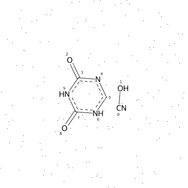 N#CO.O=c1nc[nH]c(=O)[nH]1